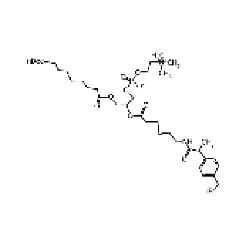 CCCCCCCCCCCCCCCCCC(=O)OC[C@H](COP(=O)([O-])OCC[N+](C)(C)C)OC(=O)CCCCCNC(=O)C(C)c1ccc(CC(C)C)cc1